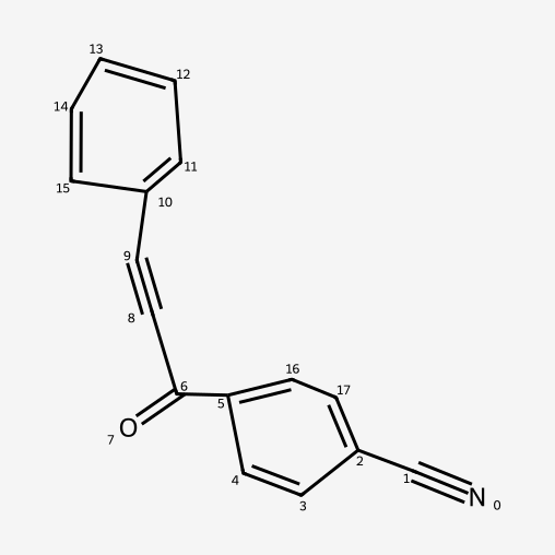 N#Cc1ccc(C(=O)C#Cc2ccccc2)cc1